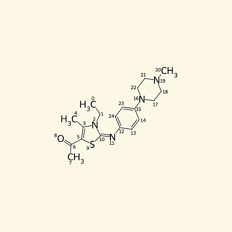 CCn1c(C)c(C(C)=O)sc1=Nc1ccc(N2CCN(C)CC2)cc1